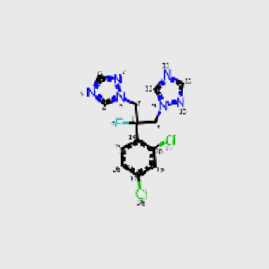 FC(Cn1cncn1)(Cn1cncn1)c1ccc(Cl)cc1Cl